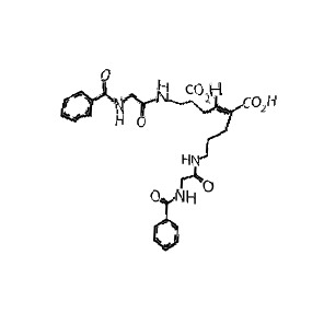 O=C(CNC(=O)c1ccccc1)NCCCC(C(=O)O)=C(CCCNC(=O)CNC(=O)c1ccccc1)C(=O)O